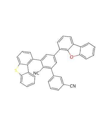 N#Cc1cccc(-c2cc(-c3cccc4c3oc3ccccc34)cc(-c3cccc4sc5ccccc5c34)c2C#N)c1